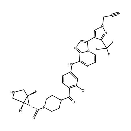 N#CCn1cc(-c2cnc3c(Nc4ccc(C(=O)N5CCN(C(=O)[C@@H]6[C@@H]7CNC[C@@H]76)CC5)c(Cl)c4)nccn23)c(C(F)(F)F)n1